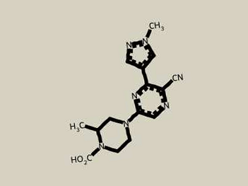 CC1CN(c2cnc(C#N)c(-c3cnn(C)c3)n2)CCN1C(=O)O